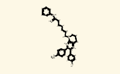 Cc1ccc(-c2nc3c(nc2-c2ccc(Cl)cc2)CCCN3CCCCCCC(=O)Nc2ccccc2)cc1